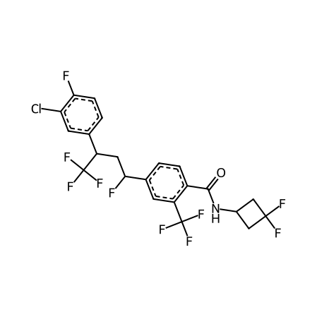 O=C(NC1CC(F)(F)C1)c1ccc(C(F)CC(c2ccc(F)c(Cl)c2)C(F)(F)F)cc1C(F)(F)F